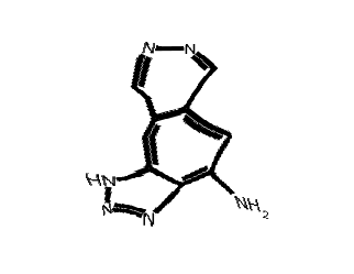 Nc1cc2cnncc2c2[nH]nnc12